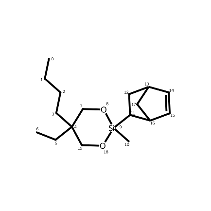 CCCCC1(CC)CO[Si](C)(C2CC3C=CC2C3)OC1